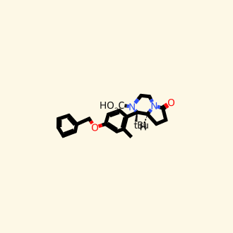 Cc1cc(OCc2ccccc2)ccc1[C@@]1(C(C)(C)C)[C@@H]2CCC(=O)N2CCN1C(=O)O